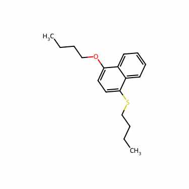 CCCCOc1ccc(SCCCC)c2ccccc12